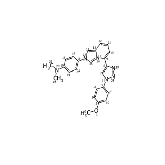 COc1ccc(-n2cc(-c3cccc4cn(-c5ccc(N(C)C)cc5)c[n+]34)nn2)cc1